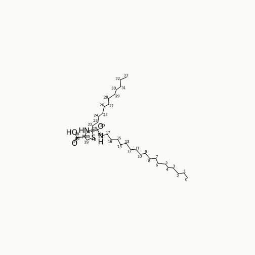 CCCCCCCCCCCCCCCCCCNC(=O)C1(CCCCCCCCCCCC)N[C@H](C(=O)O)CS1